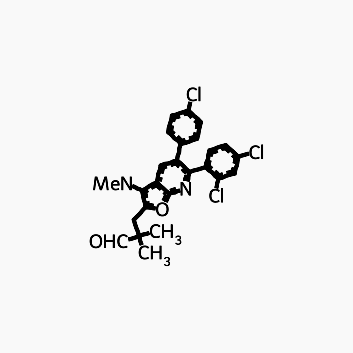 CNc1c(CC(C)(C)C=O)oc2nc(-c3ccc(Cl)cc3Cl)c(-c3ccc(Cl)cc3)cc12